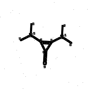 CN(C)c1c(N(C)C)c1=O